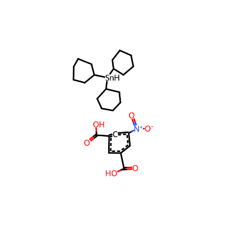 C1CC[CH]([SnH]([CH]2CCCCC2)[CH]2CCCCC2)CC1.O=C(O)c1cc(C(=O)O)cc([N+](=O)[O-])c1